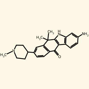 CN1CCC(c2ccc3c(c2)C(C)(C)c2[nH]c4cc(N)ccc4c2C3=O)CC1